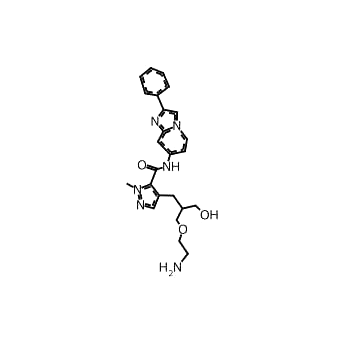 Cn1ncc(CC(CO)COCCN)c1C(=O)Nc1ccn2cc(-c3ccccc3)nc2c1